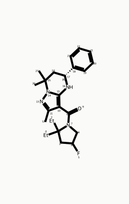 CCC1(CC)CC(F)CN1C(=O)c1c(C)nn2c1N[C@@H](c1ccccc1)CC2(C)C